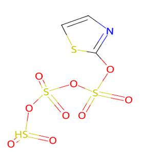 O=[SH](=O)OS(=O)(=O)OS(=O)(=O)Oc1nccs1